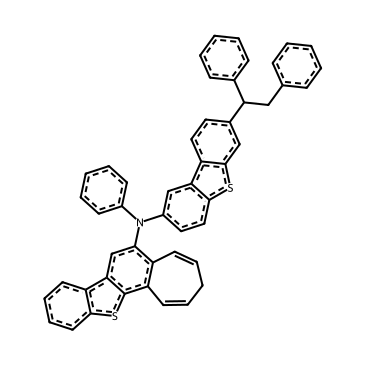 C1=Cc2c(N(c3ccccc3)c3ccc4sc5cc(C(Cc6ccccc6)c6ccccc6)ccc5c4c3)cc3c(sc4ccccc43)c2C=CC1